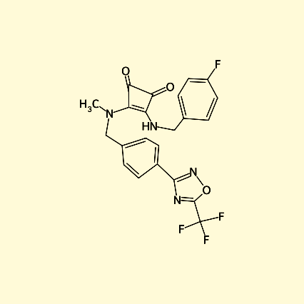 CN(Cc1ccc(-c2noc(C(F)(F)F)n2)cc1)c1c(NCc2ccc(F)cc2)c(=O)c1=O